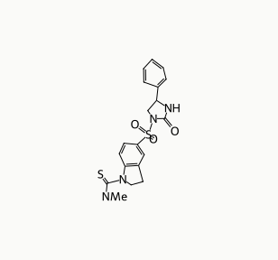 CNC(=S)N1CCc2cc(S(=O)(=O)N3CC(c4ccccc4)NC3=O)ccc21